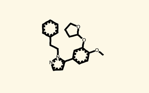 COc1ccc(-c2ccnn2CCc2ccccc2)cc1OC1CCCO1